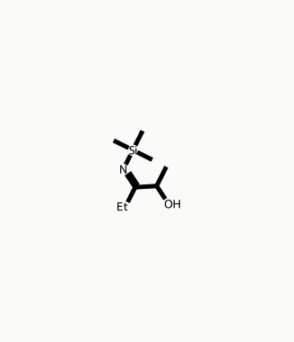 CCC(=N[Si](C)(C)C)C(C)O